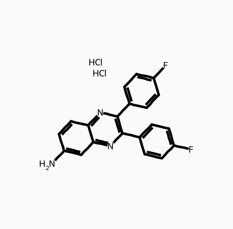 Cl.Cl.Nc1ccc2nc(-c3ccc(F)cc3)c(-c3ccc(F)cc3)nc2c1